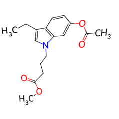 CCc1cn(CCCC(=O)OC)c2cc(OC(C)=O)ccc12